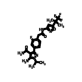 CC(C)n1nc(-c2ccc(CC(=O)Nc3cc(C(C)(C)C(F)(F)F)on3)c(F)c2)c(C(N)=O)c1N